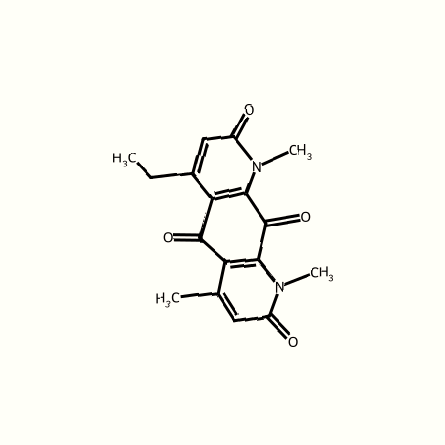 CCc1cc(=O)n(C)c2c1C(=O)c1c(C)cc(=O)n(C)c1C2=O